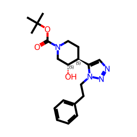 CC(C)(C)OC(=O)N1CC[C@@H](c2cnnn2CCc2ccccc2)[C@H](O)C1